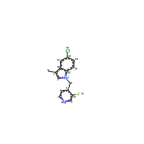 Cc1cn(Cc2ccncc2F)c2ccc(Cl)cc12